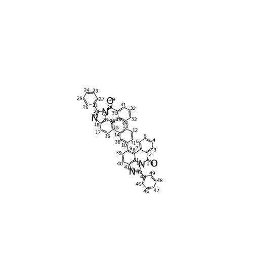 O=c1c2ccccc2c2c(-c3cccc(-c4ccc5nc(-c6ccccc6)n6c(=O)c7ccccc7c4c56)c3)ccc3nc(-c4ccccc4)n1c32